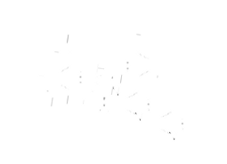 Cc1cc(F)ccc1-c1cc(-c2cccnc2)ncc1N(C)C(=O)C(C)(C)c1cc(C(F)(F)F)cc(C(F)(F)F)c1